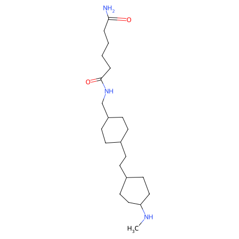 CNC1CCC(CCC2CCC(CNC(=O)CCCCC(N)=O)CC2)CC1